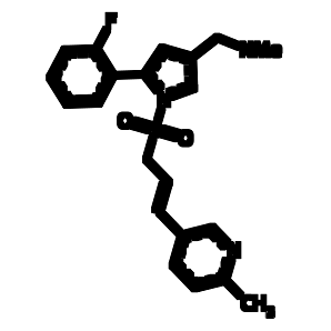 CNCc1cc(-c2ccccc2F)n(S(=O)(=O)CC=Cc2ccc(C)nc2)c1